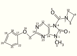 Cn1c(=O)n(C(=O)N2CCC2)c2cnc(COc3ccccc3)nc21